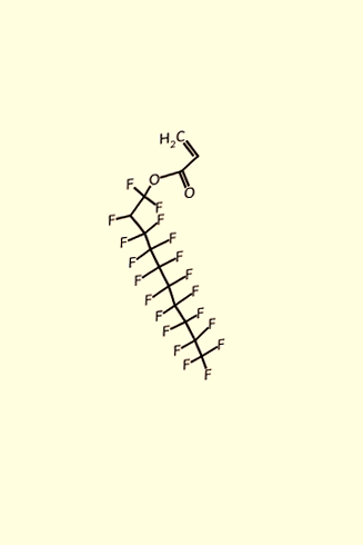 C=CC(=O)OC(F)(F)C(F)C(F)(F)C(F)(F)C(F)(F)C(F)(F)C(F)(F)C(F)(F)C(F)(F)C(F)(F)F